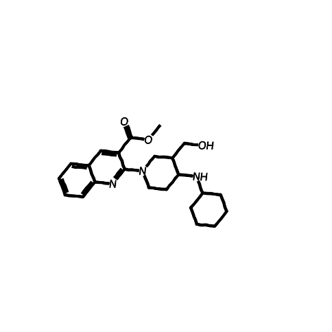 COC(=O)c1cc2ccccc2nc1N1CCC(NC2CCCCC2)C(CO)C1